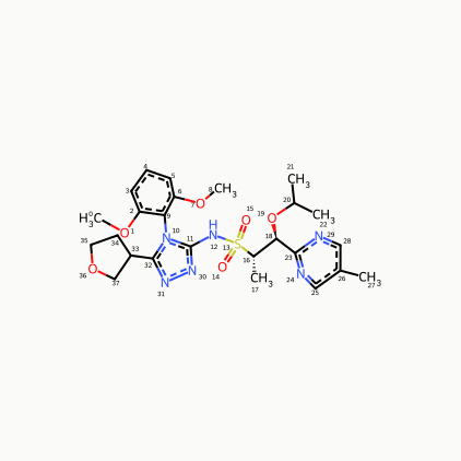 COc1cccc(OC)c1-n1c(NS(=O)(=O)[C@@H](C)[C@@H](OC(C)C)c2ncc(C)cn2)nnc1C1CCOC1